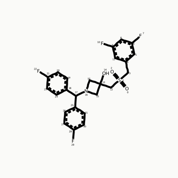 O=S(=O)(Cc1cc(F)cc(F)c1)CC1(O)CN(C(c2ccc(F)cc2)c2ccc(F)cc2)C1